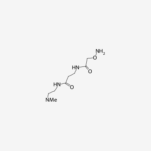 CNCCNC(=O)CCNC(=O)CON